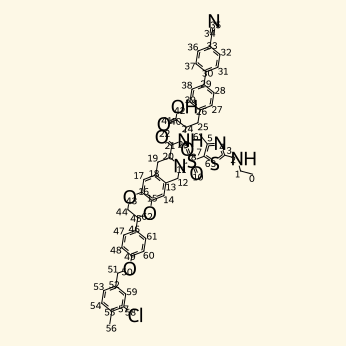 CCNc1nc(C)c(S(=O)(=O)N2Cc3cc4c(cc3CC2C(=O)NC(Cc2ccc(-c3ccc(C#N)cc3)cc2)C(=O)O)OCC(c2ccc(OCc3ccc(C)c(Cl)c3)cc2)O4)s1